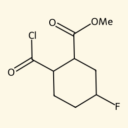 COC(=O)C1CC(F)CCC1C(=O)Cl